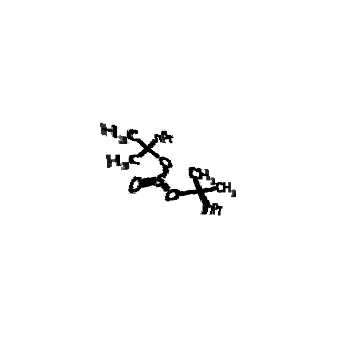 CCCC(C)(C)OS(=O)OC(C)(C)CCC